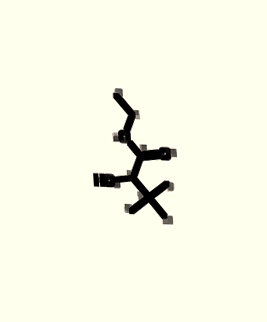 CCOC(=O)C(O)C(C)(C)C